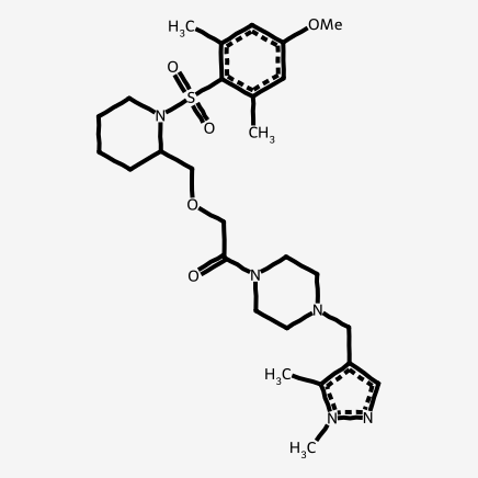 COc1cc(C)c(S(=O)(=O)N2CCCCC2COCC(=O)N2CCN(Cc3cnn(C)c3C)CC2)c(C)c1